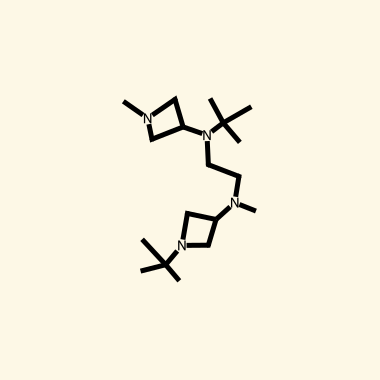 CN1CC(N(CCN(C)C2CN(C(C)(C)C)C2)C(C)(C)C)C1